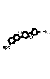 CCCCCCCc1ccc2cc3oc4cc5c(cc4c3cc2c1)oc1cc(CCCCCCC)ccc15